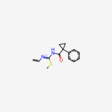 C=C/N=C(/NC(=O)C1(c2ccccc2)CC1)SC